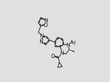 CC(=O)N1c2ccc(-c3cnn(Cc4ccno4)c3)cc2N(C(=O)C2CC2)C[C@@H]1C